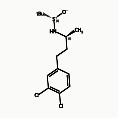 C[C@@H](CCc1ccc(Cl)c(Cl)c1)N[S@@+]([O-])C(C)(C)C